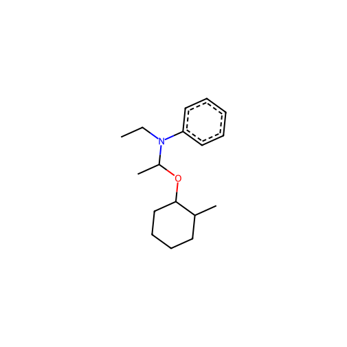 CCN(c1ccccc1)C(C)OC1CCCCC1C